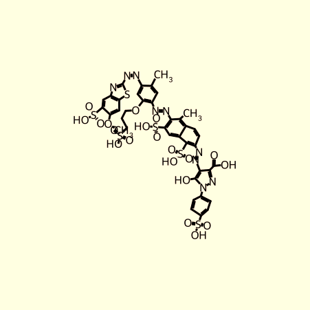 COc1cc2sc(/N=N\c3cc(OCCCS(=O)(=O)O)c(N=Nc4c(S(=O)(=O)O)cc5c(S(=O)(=O)O)c(N=Nc6c(C(=O)O)nn(-c7ccc(S(=O)(=O)O)cc7)c6O)ccc5c4C)cc3C)nc2cc1S(=O)(=O)O